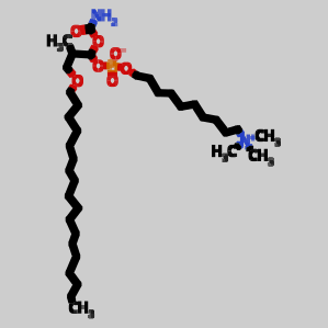 CCCCCCCCCCCCCCCCCCOCC(C)C(OC(N)=O)OP(=O)([O-])OCCCCCCCCCC[N+](C)(C)C